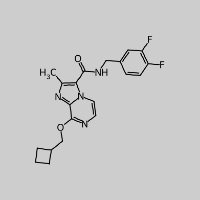 Cc1nc2c(OCC3CCC3)nccn2c1C(=O)NCc1ccc(F)c(F)c1